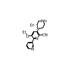 CCOc1cc(N2CCNC[C@H]2CC)c(C#N)nc1-c1cccnc1